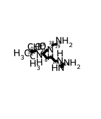 CC(C)(C)C(=O)NC(CCCNC(=N)N)C(=O)NCCN